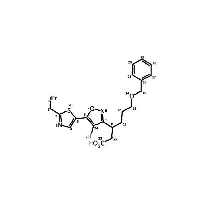 CC(C)Cc1ncc(-c2onc(C(CCCOCc3ccccc3)CC(=O)O)c2I)s1